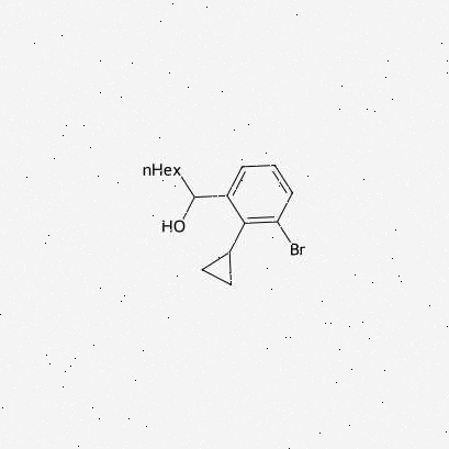 CCCCCCC(O)c1cccc(Br)c1C1CC1